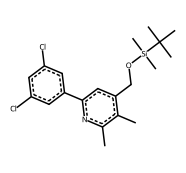 Cc1nc(-c2cc(Cl)cc(Cl)c2)cc(CO[Si](C)(C)C(C)(C)C)c1C